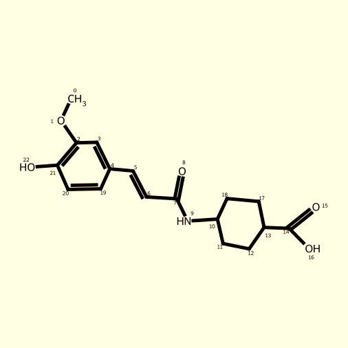 COc1cc(C=CC(=O)NC2CCC(C(=O)O)CC2)ccc1O